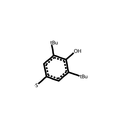 CC(C)(C)c1cc([S])cc(C(C)(C)C)c1O